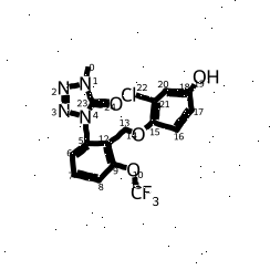 Cn1nnn(-c2cccc(OC(F)(F)F)c2COc2ccc(O)cc2Cl)c1=O